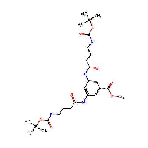 COC(=O)c1cc(NC(=O)CCCNC(=O)OC(C)(C)C)cc(NC(=O)CCCNC(=O)OC(C)(C)C)c1